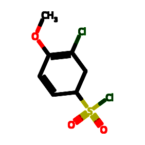 COC1=C(Cl)CC(S(=O)(=O)Cl)C=C1